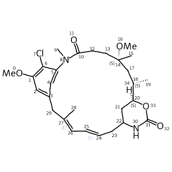 COc1cc2cc(c1Cl)N(C)C(=O)CC[C@](C)(OC)C[C@H](C)[C@@H]1CC(C/C=C/C=C(\C)C2)NC(=O)O1